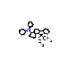 CC1(C)c2ccccc2-c2ccc3c(N(c4ccccc4)c4ccccc4)cccc3c21